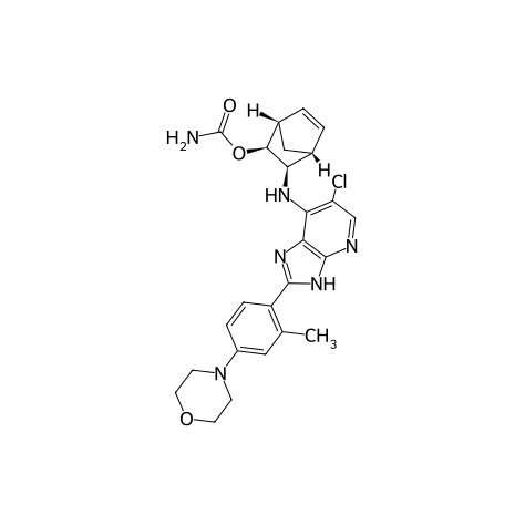 Cc1cc(N2CCOCC2)ccc1-c1nc2c(N[C@H]3[C@@H](OC(N)=O)[C@@H]4C=C[C@H]3C4)c(Cl)cnc2[nH]1